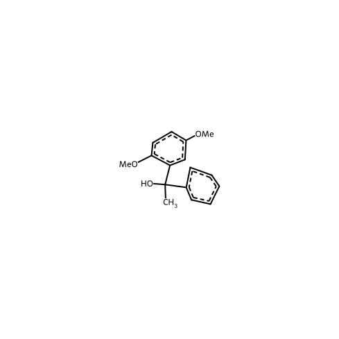 COc1ccc(OC)c(C(C)(O)c2ccccc2)c1